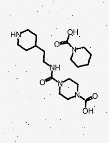 O=C(O)N1CCCCC1.O=C(O)N1CCN(C(=O)NCCC2CCNCC2)CC1